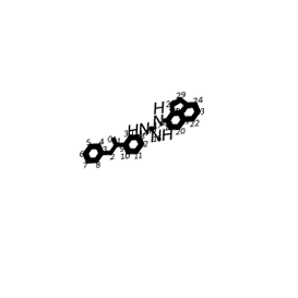 CC(Cc1ccccc1)c1cccc(NC(=N)Nc2ccc3cccc4c3c2C=C4)c1